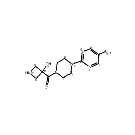 O=C(N1CCN(c2ncc(C(F)(F)F)cn2)CC1)C1(O)CNC1